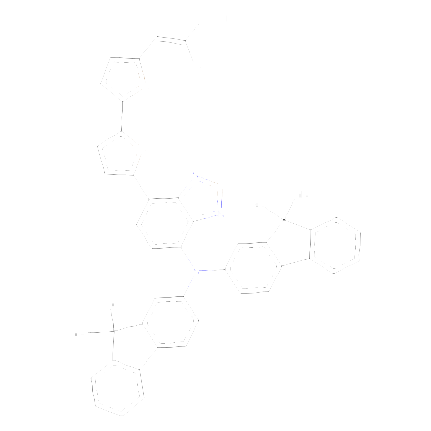 CCCCC1(CCCC)c2ccccc2-c2ccc(N(c3ccc4c(c3)C(CCCC)(CCCC)c3ccccc3-4)c3ccc(-c4ccc(-c5ccc(C=C(C(=O)O)C(=O)O)s5)s4)c4nsnc34)cc21